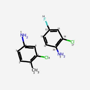 Cc1ccc(N)cc1Cl.Nc1ccc(F)cc1Cl